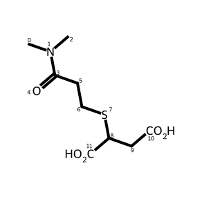 CN(C)C(=O)CCSC(CC(=O)O)C(=O)O